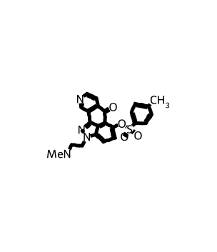 CNCCn1nc2c3c(c(OS(=O)(=O)c4ccc(C)cc4)ccc31)C(=O)c1ccncc1-2